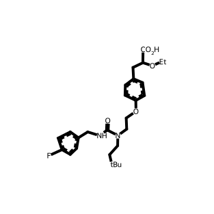 CCOC(Cc1ccc(OCCN(CCC(C)(C)C)C(=O)NCc2ccc(F)cc2)cc1)C(=O)O